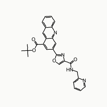 CC(C)(C)OC(=O)c1cc(-c2nc(C(=O)NCc3ccccn3)co2)cc2nc3ccccc3cc12